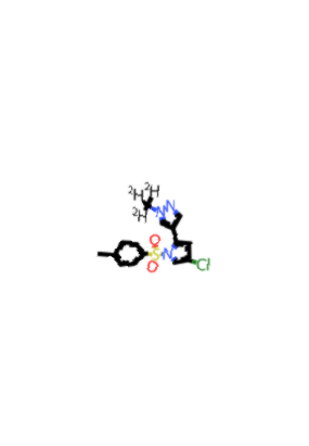 [2H]C([2H])([2H])n1cc(-c2cc(Cl)cn2S(=O)(=O)c2ccc(C)cc2)cn1